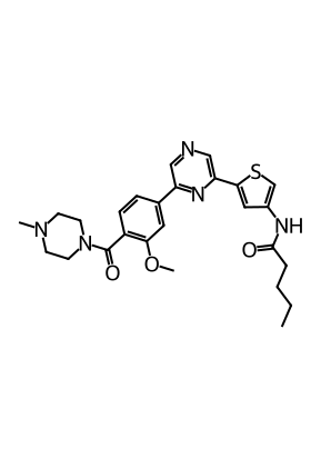 CCCCC(=O)Nc1csc(-c2cncc(-c3ccc(C(=O)N4CCN(C)CC4)c(OC)c3)n2)c1